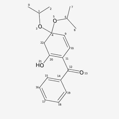 CC(C)OC1(OC(C)C)C=CC(C(=O)c2ccccc2)=C(O)C1